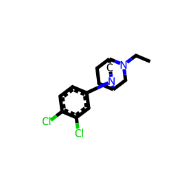 CCN1CC2CCC1CN2c1ccc(Cl)c(Cl)c1